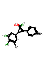 CCc1ccc(C2C(c3cc(F)c(Br)c(CC)c3)C2(O)Cl)cc1